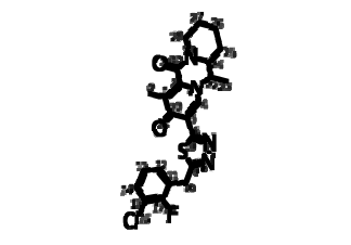 Cc1c2n(cc(-c3nnc(Cc4cccc(Cl)c4F)s3)c1=O)C(C)C1CCCCN1C2=O